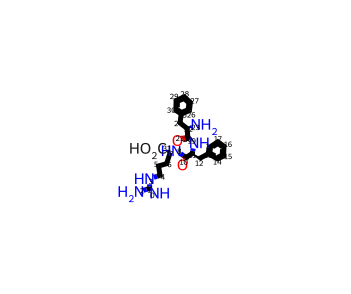 N=C(N)NCCC[C@H](NC(=O)[C@H](Cc1ccccc1)NC(=O)[C@H](N)Cc1ccccc1)C(=O)O